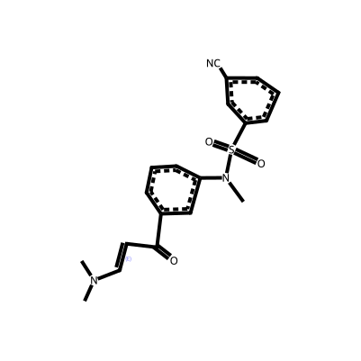 CN(C)/C=C/C(=O)c1cccc(N(C)S(=O)(=O)c2cccc(C#N)c2)c1